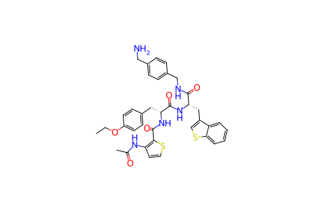 CCOc1ccc(C[C@@H](NC(=O)c2sccc2NC(C)=O)C(=O)N[C@@H](Cc2csc3ccccc23)C(=O)NCc2ccc(CN)cc2)cc1